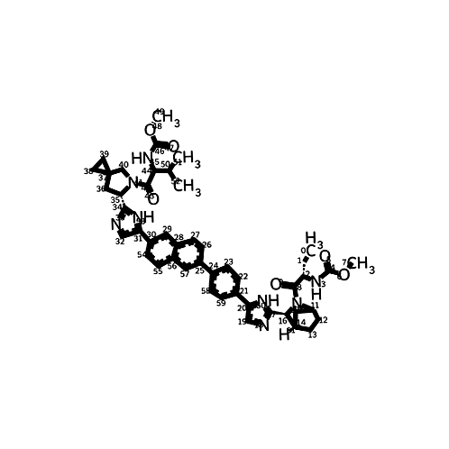 CC[C@H](NC(=O)OC)C(=O)N1C2CC[C@@H](C2)[C@H]1c1ncc(-c2ccc(-c3ccc4cc(-c5cnc([C@@H]6CC7(CC7)CN6C(=O)C(NC(=O)OC)C(C)C)[nH]5)ccc4c3)cc2)[nH]1